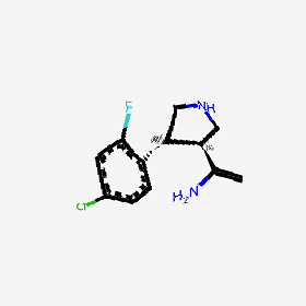 C=C(N)[C@@H]1CNC[C@H]1c1ccc(Cl)cc1F